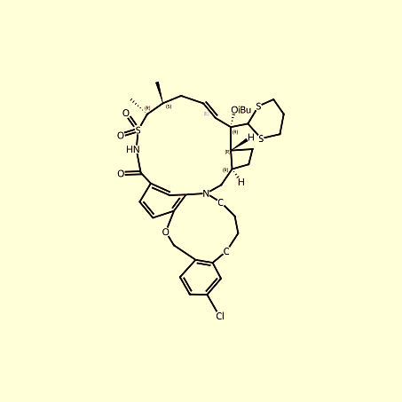 CC(C)CO[C@@]1(C2SCCCS2)/C=C/C[C@H](C)[C@@H](C)S(=O)(=O)NC(=O)c2ccc3c(c2)N(CCCCc2cc(Cl)ccc2CO3)C[C@@H]2CC[C@H]21